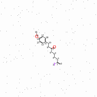 C=C(I)CCCCC(=O)CCc1ccc(OC)cc1